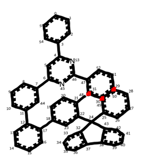 c1ccc(-c2cc(-c3cccc(-c4ccccc4-c4ccc5c(c4)C4(c6ccccc6O5)c5ccccc5-c5ccccc54)c3)nc(-c3ccccc3)n2)cc1